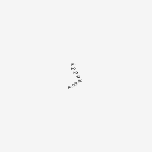 [OH-].[OH-].[OH-].[OH-].[OH-].[OH-].[P+3].[P+3]